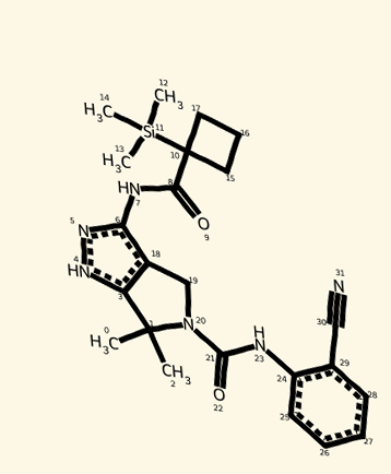 CC1(C)c2[nH]nc(NC(=O)C3([Si](C)(C)C)CCC3)c2CN1C(=O)Nc1ccccc1C#N